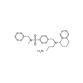 CN(Cc1ccccc1)S(=O)(=O)c1ccc(CN(CCCN)C2CCCc3ccccc32)cc1